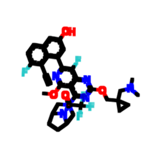 C#Cc1c(F)ccc2cc(O)cc(-c3nc(OC)c4c(N5CC6CCC(C5)N6C(=O)C(F)(F)F)nc(OCC5(CN(C)C)CC5)nc4c3F)c12